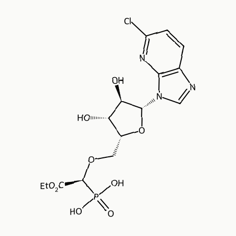 CCOC(=O)[C@@H](OC[C@H]1O[C@@H](n2cnc3ccc(Cl)nc32)[C@H](O)[C@H]1O)P(=O)(O)O